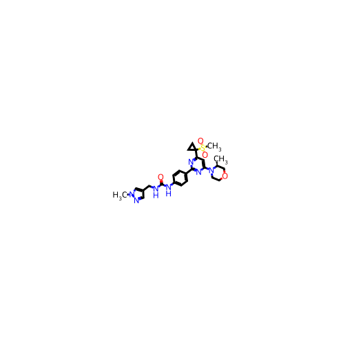 C[C@H]1COCCN1c1cc(C2(S(C)(=O)=O)CC2)nc(-c2ccc(NC(=O)NCc3cnn(C)c3)cc2)n1